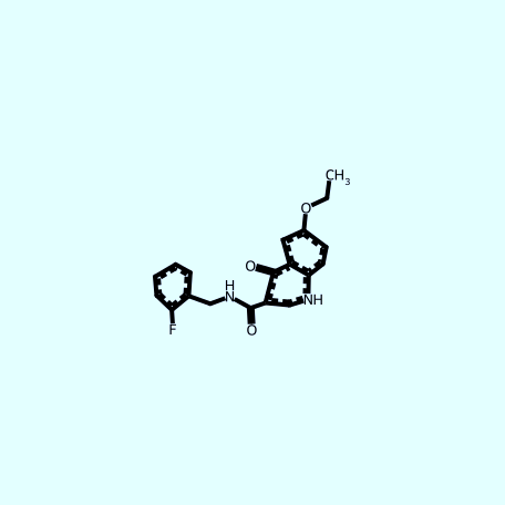 CCOc1ccc2[nH]cc(C(=O)NCc3ccccc3F)c(=O)c2c1